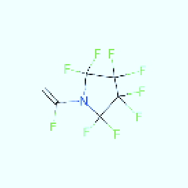 C=C(F)N1C(F)(F)C(F)(F)C(F)(F)C1(F)F